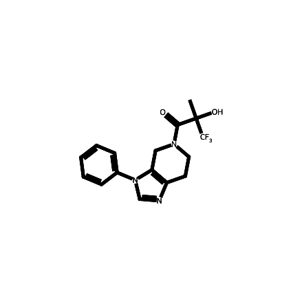 CC(O)(C(=O)N1CCc2ncn(-c3ccccc3)c2C1)C(F)(F)F